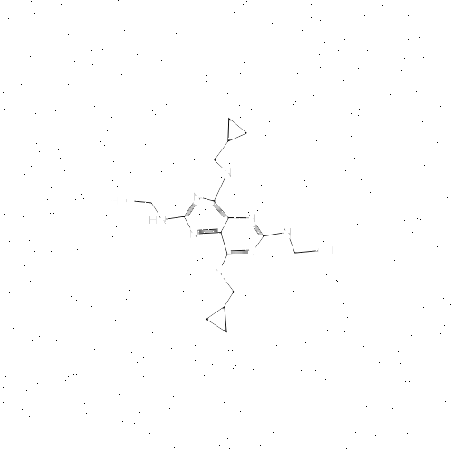 CCNc1nc(NCC2CC2)c2nc(NCC)nc(NCC3CC3)c2n1